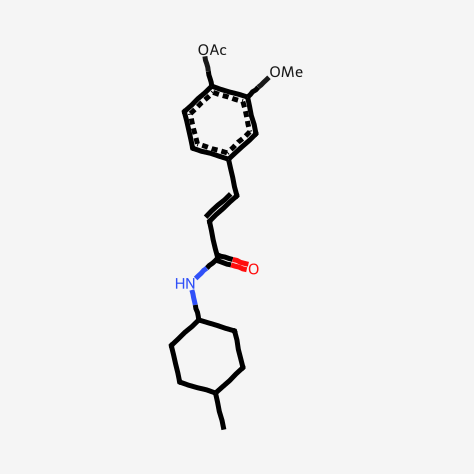 COc1cc(/C=C/C(=O)NC2CCC(C)CC2)ccc1OC(C)=O